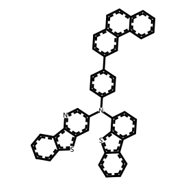 c1ccc2c(c1)ccc1ccc(-c3ccc(N(c4cnc5c(c4)sc4ccccc45)c4cccc5c4sc4ccccc45)cc3)cc12